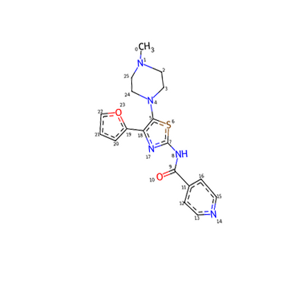 CN1CCN(c2sc(NC(=O)c3ccncc3)nc2-c2ccco2)CC1